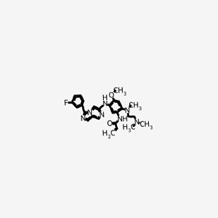 C=CC(=O)Nc1cc(Nc2cn3c(-c4cccc(F)c4)ncc3cn2)c(OC)cc1N(C)CCN(C)C